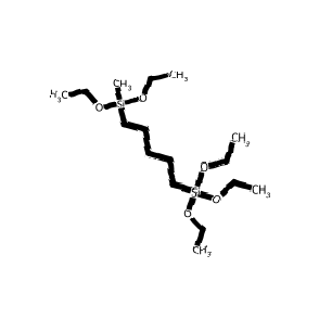 CCO[Si](C)(CCCCC[Si](OCC)(OCC)OCC)OCC